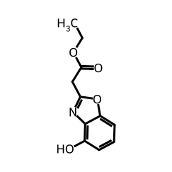 CCOC(=O)Cc1nc2c(O)cccc2o1